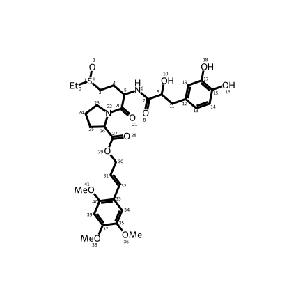 CC[S+]([O-])CCC(NC(=O)C(O)Cc1ccc(O)c(O)c1)C(=O)N1CCCC1C(=O)OC/C=C/c1cc(OC)c(OC)cc1OC